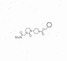 CNC(=O)CN1CCCN(C2CCN(C(=O)OCc3ccccc3)CC2)C1=O